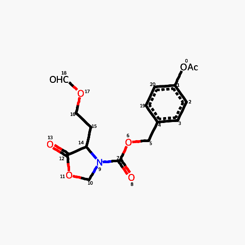 CC(=O)Oc1ccc(COC(=O)N2COC(=O)C2CCOC=O)cc1